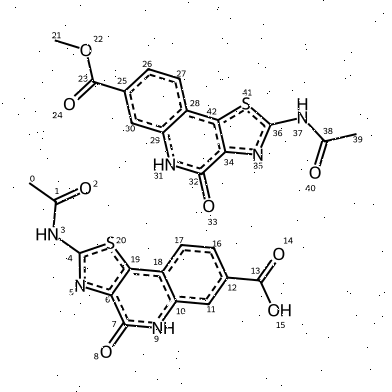 CC(=O)Nc1nc2c(=O)[nH]c3cc(C(=O)O)ccc3c2s1.COC(=O)c1ccc2c(c1)[nH]c(=O)c1nc(NC(C)=O)sc12